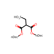 CCCCCCCCCCOC(=O)C(CS(=O)(=O)O)C(=O)OCCCCCCCCCC